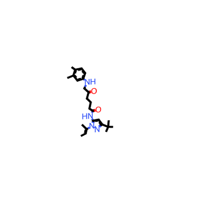 C/C=C(\C)n1nc(C(C)(C)C)cc1NC(=O)CCCC(=O)CNc1ccc(C)c(C)c1